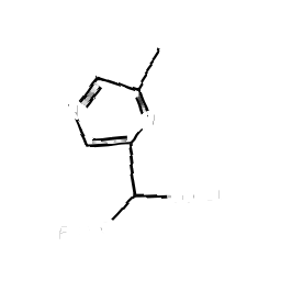 CCOC(=O)C(C(=O)OCC)c1cncc(C)n1